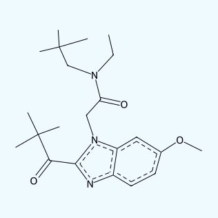 CCN(CC(C)(C)C)C(=O)Cn1c(C(=O)C(C)(C)C)nc2ccc(OC)cc21